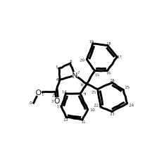 COC(=O)C1CCN1C(c1ccccc1)(c1ccccc1)c1ccccc1